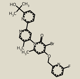 Cc1cnc(-c2cccc(C(C)(C)O)n2)cc1-n1c(C)cc(OCc2cccc(F)n2)c(Br)c1=O